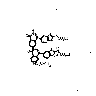 CC(=O)O.CCOC(=O)Nc1nc2cc(-c3n[nH]c(=O)c4ccccc34)ccc2[nH]1.CCOC(=O)Nc1nc2cc(-c3n[nH]c(=O)c4ccccc34)ccc2[nH]1